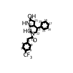 O=C(Cc1ccc(C(F)(F)F)cc1)N(O)CC(c1ccccc1)C1CNC(O)C1